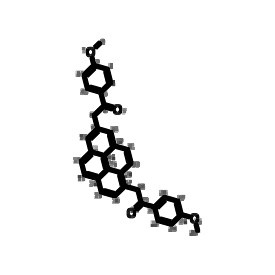 COc1ccc(C(=O)Cc2cc3ccc4ccc(CC(=O)c5ccc(OC)cc5)c5ccc(c2)c3c45)cc1